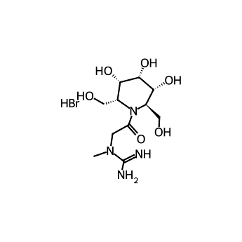 Br.CN(CC(=O)N1[C@H](CO)[C@H](O)[C@H](O)[C@H](O)[C@H]1CO)C(=N)N